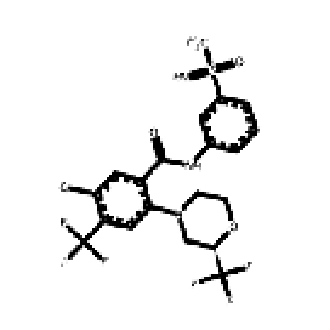 CS(=N)(=O)c1cccc(NC(=O)c2cc(Cl)c(C(F)(F)F)cc2N2CCO[C@@H](C(F)(F)F)C2)c1